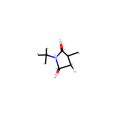 CC1C(=O)N(C(C)(C)C)C(=O)C1I